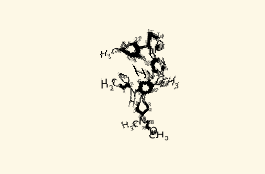 C=CC(=O)Nc1cc(Nc2cc(N3OCC[C@@H]3c3ccc(C)nc3)ncn2)c(OC)cc1N1CCC(N(C)CCOC)CC1